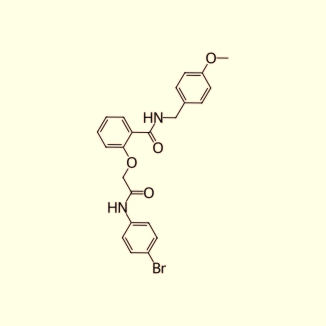 COc1ccc(CNC(=O)c2ccccc2OCC(=O)Nc2ccc(Br)cc2)cc1